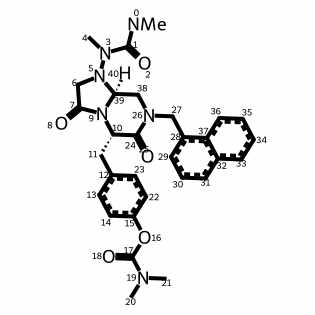 CNC(=O)N(C)N1CC(=O)N2[C@@H](Cc3ccc(OC(=O)N(C)C)cc3)C(=O)N(Cc3cccc4ccccc34)C[C@@H]21